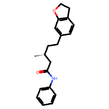 C[C@H](CCc1ccc2c(c1)OCC2)CC(=O)Nc1ccccc1